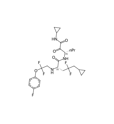 CCC[C@H](NC(=O)[C@H](CC(F)(F)CC1CC1)NCC(F)(F)Oc1ccc(F)cc1)C(=O)C(=O)NC1CC1